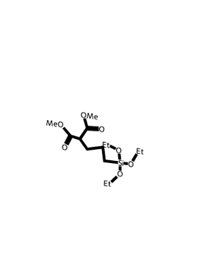 CCO[Si](CCCC(C(=O)OC)C(=O)OC)(OCC)OCC